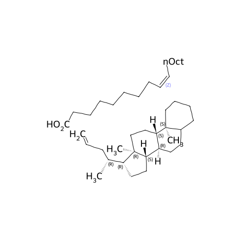 C=CC[C@@H](C)[C@H]1CC[C@H]2[C@@H]3CCC4CCCC[C@]4(C)[C@H]3CC[C@]12C.CCCCCCCC/C=C\CCCCCCCC(=O)O